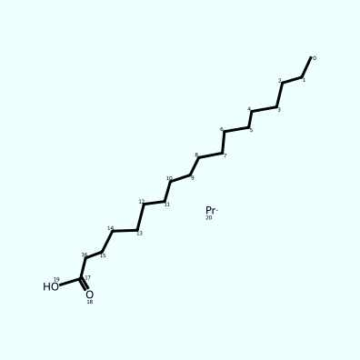 CCCCCCCCCCCCCCCCCC(=O)O.[Pr]